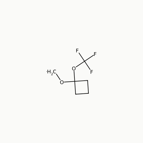 [CH2]OC1(OC(F)(F)F)CCC1